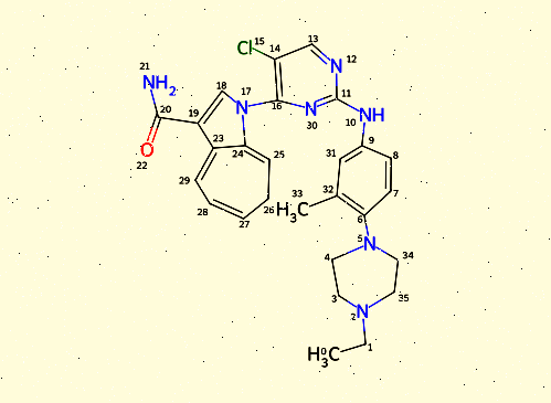 CCN1CCN(c2ccc(Nc3ncc(Cl)c(-n4cc(C(N)=O)c5c4=CCC=CC=5)n3)cc2C)CC1